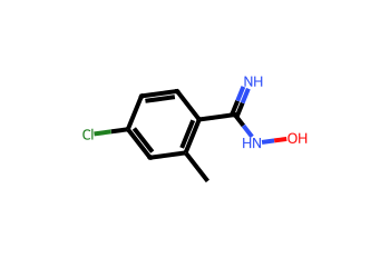 Cc1cc(Cl)ccc1C(=N)NO